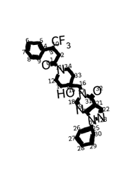 O=C(C[C@H](c1ccccc1)C(F)(F)F)N1CCC(O)(Cn2cnc3c(cnn3-c3ccccc3)c2=O)CC1